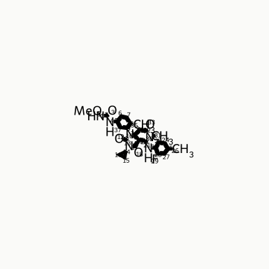 CONC(=O)Nc1cccc(-n2c(=O)n(C3CC3)c(=O)c3c(Nc4ccc(C)cc4F)n(C)c(=O)c(C)c32)c1